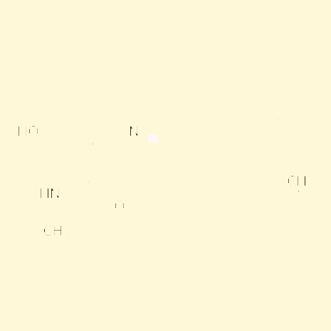 CNC(=O)[C@H](CO)/N=C/c1cccc(C)c1